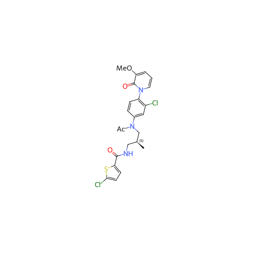 COc1cccn(-c2ccc(N(C[C@@H](C)CNC(=O)c3ccc(Cl)s3)C(C)=O)cc2Cl)c1=O